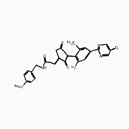 COc1ccc(CNC(=O)CC2CC(=O)C(c3c(C)cc(-c4ncc(Cl)cn4)cc3C)C2=O)cc1